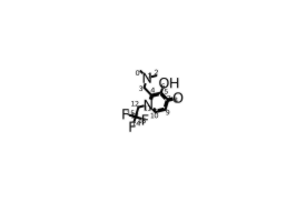 CN(C)Cc1c(O)c(=O)ccn1CC(F)(F)F